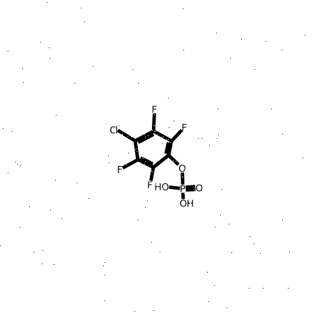 O=P(O)(O)Oc1c(F)c(F)c(Cl)c(F)c1F